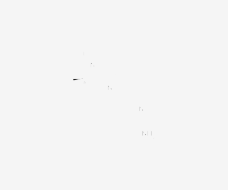 CCN1CCN(c2ccc(N)nc2)C[C@H]1C